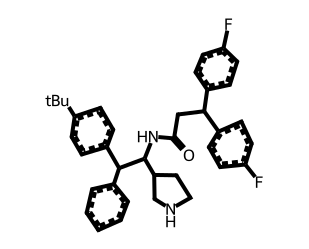 CC(C)(C)c1ccc(C(c2ccccc2)C(NC(=O)CC(c2ccc(F)cc2)c2ccc(F)cc2)C2CCNC2)cc1